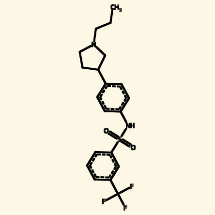 CCCN1CCC(c2ccc(NS(=O)(=O)c3cccc(C(F)(F)F)c3)cc2)C1